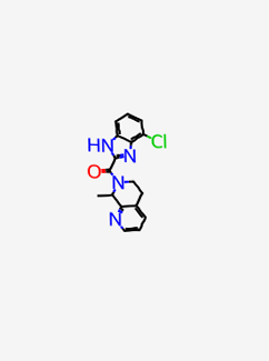 CC1c2ncccc2CCN1C(=O)c1nc2c(Cl)cccc2[nH]1